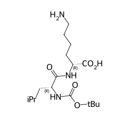 CC(C)C[C@@H](NC(=O)OC(C)(C)C)C(=O)N[C@H](CCCCN)C(=O)O